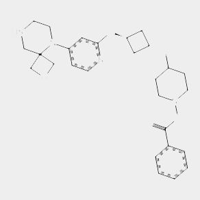 O=C(ON1CCC(O[C@H]2C[C@H](Oc3cc(N4CCNCC45COC5)ccn3)C2)CC1)c1ccccc1